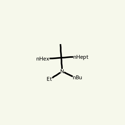 CCCCCCCC(C)(CCCCCC)N(CC)CCCC